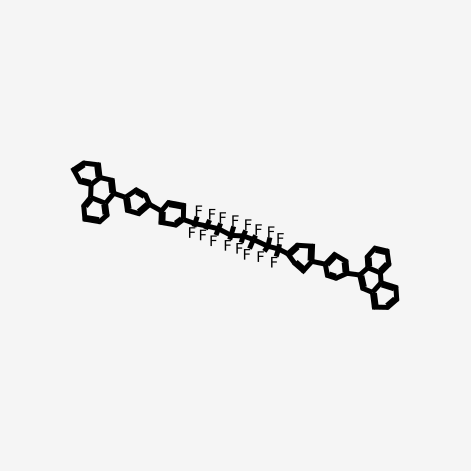 FC(F)(c1ccc(-c2ccc(-c3cc4ccccc4c4ccccc34)cc2)cc1)C(F)(F)C(F)(F)C(F)(F)C(F)(F)C(F)(F)C(F)(F)C(F)(F)c1ccc(-c2ccc(-c3cc4ccccc4c4ccccc34)cc2)cc1